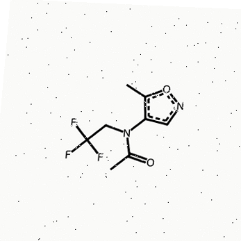 CC(=O)N(CC(F)(F)F)c1cnoc1C